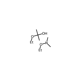 CCOC(C)(C)O.CCON(C)C